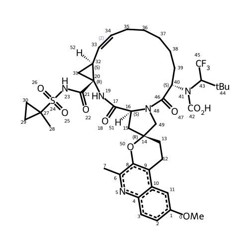 COc1ccc2nc(C)c3c(c2c1)CC[C@]1(C[C@H]2C(=O)N[C@]4(C(=O)NS(=O)(=O)C5(C)CC5)C[C@H]4/C=C\CCCCC[C@H](N(C(=O)O)C(C(C)(C)C)C(F)(F)F)C(=O)N2C1)O3